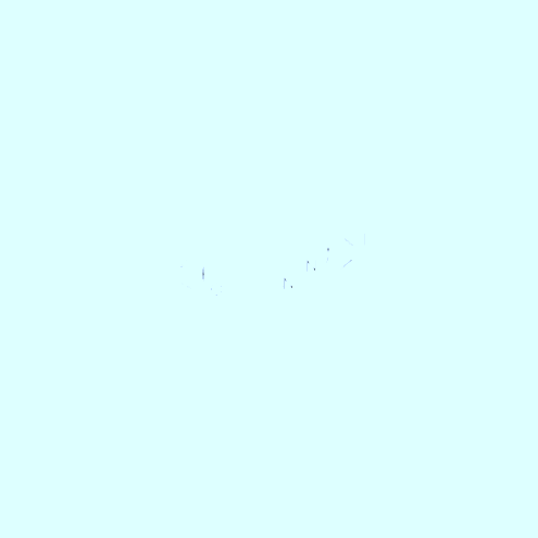 Fc1ccc(N2CCN(CCCCOc3cccc4c3CCC4)CC2)cc1